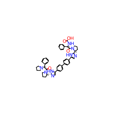 O=C(O)N[C@@H](C(=O)N1CCC[C@H]1c1ncc(-c2ccc(-c3ccc(-c4cnc([C@@H]5CCCN5C(=O)[C@@H](c5ccccc5)N5CCCC5)[nH]4)cc3)cc2)[nH]1)c1ccccc1